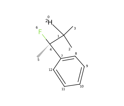 [2H]C(C)(C)[C@](C)(F)c1ccccc1